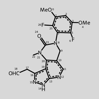 COc1cc(OC)c(F)c(N2Cc3cnc4[nH]nc(CC=O)c4c3N(C)C2=O)c1F